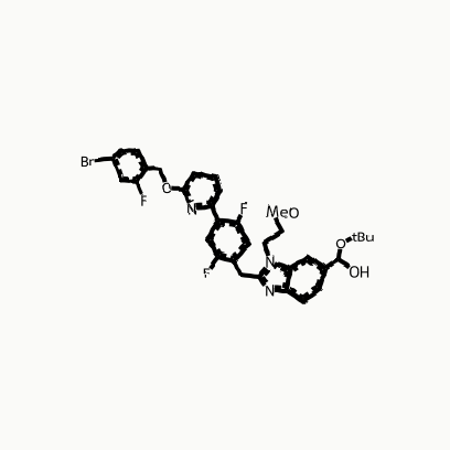 COCCn1c(Cc2cc(F)c(-c3cccc(OCc4ccc(Br)cc4F)n3)cc2F)nc2ccc(C(O)OC(C)(C)C)cc21